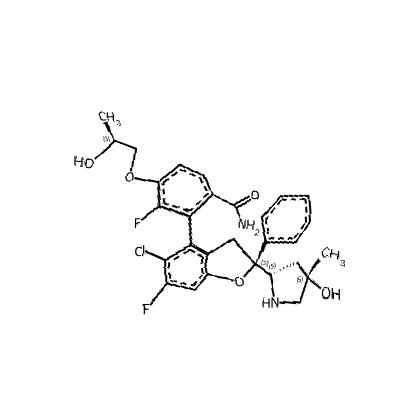 C[C@H](O)COc1ccc(C(N)=O)c(-c2c(Cl)c(F)cc3c2C[C@](c2ccccc2)([C@@H]2C[C@](C)(O)CN2)O3)c1F